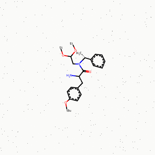 CCOC(CN(C(=O)C(N)Cc1ccc(OC(C)(C)C)cc1)[C@H](C)c1ccccc1)OCC